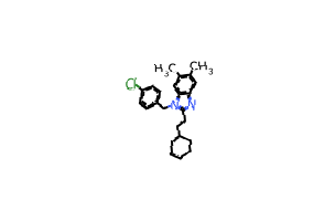 Cc1cc2nc(CCC3CCCCC3)n(Cc3ccc(Cl)cc3)c2cc1C